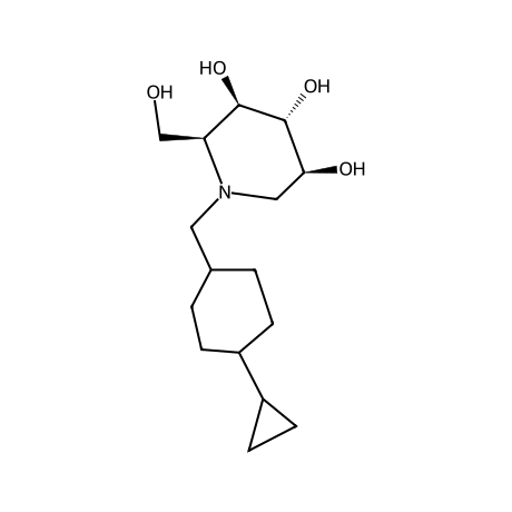 OC[C@H]1[C@@H](O)[C@H](O)[C@@H](O)CN1CC1CCC(C2CC2)CC1